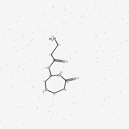 NCCC(=O)OC1COCCC(=O)O1